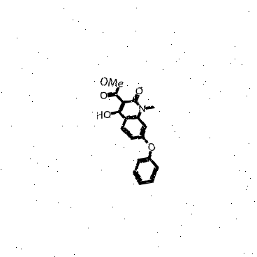 COC(=O)c1c(O)c2ccc(Oc3ccccc3)cc2n(C)c1=O